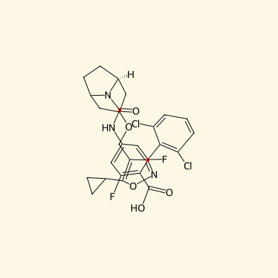 O=C(O)c1c(F)cc(NC(=O)N2C3CC[C@H]2CC(OCc2c(-c4c(Cl)cccc4Cl)noc2C2CC2)C3)cc1F